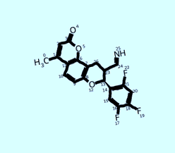 Cc1cc(=O)oc2c3c(ccc12)O[C@H](c1cc(F)c(F)cc1F)C(C=N)C3